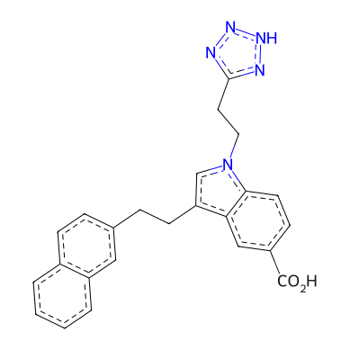 O=C(O)c1ccc2c(c1)c(CCc1ccc3ccccc3c1)cn2CCc1nn[nH]n1